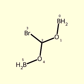 BOC(Br)OB